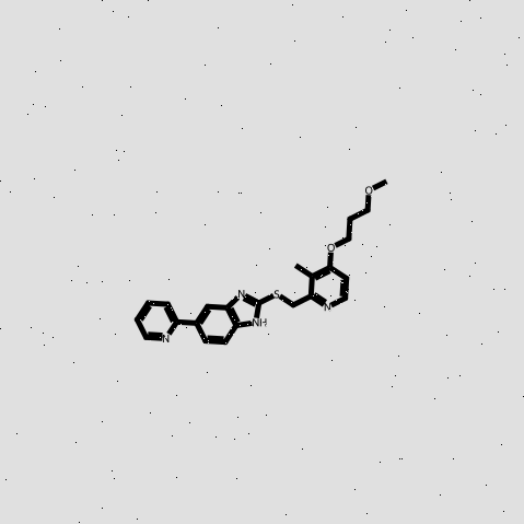 COCCCOc1ccnc(CSc2nc3cc(-c4ccccn4)ccc3[nH]2)c1C